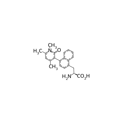 Cc1cc(C)n(C)c(=O)c1-c1ccc(C[C@H](N)C(=O)O)c2ccccc12